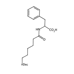 CCCCCCCCCCCCCCCC(=O)NC(Cc1ccccc1)C(=O)O